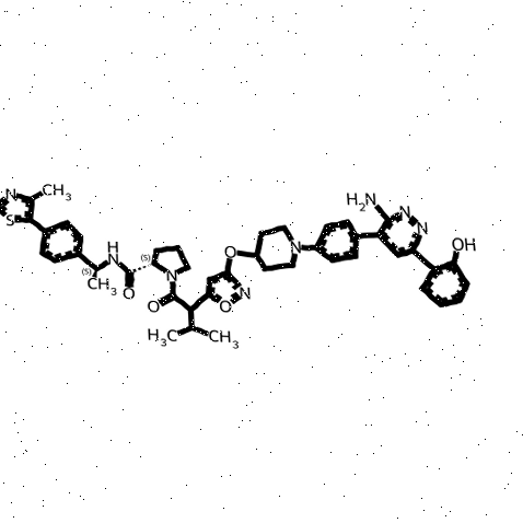 Cc1ncsc1-c1ccc([C@H](C)NC(=O)[C@@H]2CCCN2C(=O)C(c2cc(OC3CCN(c4ccc(-c5cc(-c6ccccc6O)nnc5N)cc4)CC3)no2)C(C)C)cc1